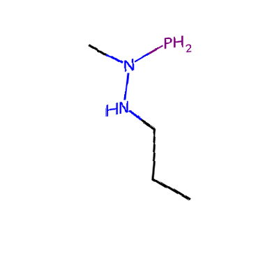 CCCNN(C)P